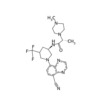 C[C@H](C(=O)N[C@@H]1CC(C(F)(F)F)CN(c2ccc(C#N)c3nccnc23)C1)N1CCN(C)CC1